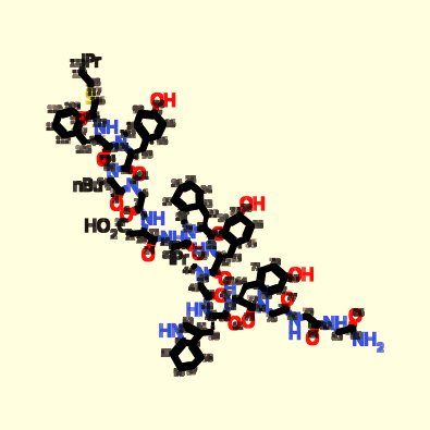 CCCC[C@@H](C(=O)N(C)CC(=O)NC(CC(=O)O)C(=O)N[C@H](C(=O)N(C)[C@@H](Cc1ccccc1)C(=O)N[C@@H](Cc1ccc(O)cc1)C(=O)N(C)CC(=O)N[C@@H](Cc1c[nH]c2ccccc12)C(=O)N[C@@H](Cc1ccc(O)cc1)C(=O)NCC(=O)NCC(=O)NCC(N)=O)C(C)C)N(C)C(=O)[C@H](Cc1ccc(O)cc1)N(C)C(=O)[C@H](Cc1ccccc1)NC(=O)CSCCC(C)C